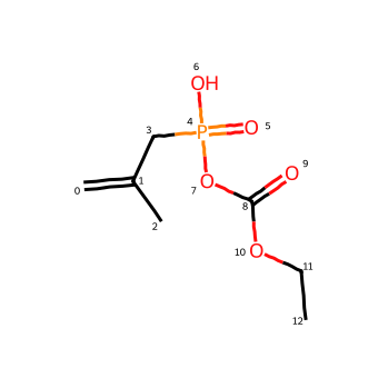 C=C(C)CP(=O)(O)OC(=O)OCC